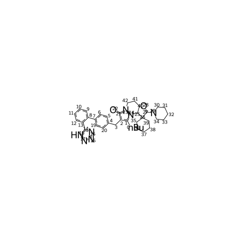 CCCCc1c(Cc2ccc(-c3ccccc3-c3nnn[nH]3)cc2)c(=O)n2n1C(C1(C(=O)N3CCCCC3)CCCCC1)CCC2